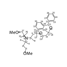 COCCC(C)(C)N(C(C)CC(C)(C)OC(C)CC(C)(C)OC(c1ccccc1)c1ccccc1)C(C)(C)COC